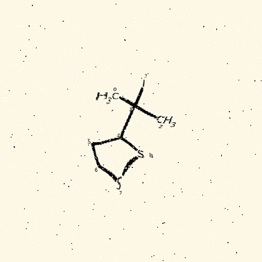 CC(C)(I)C1CCSS1